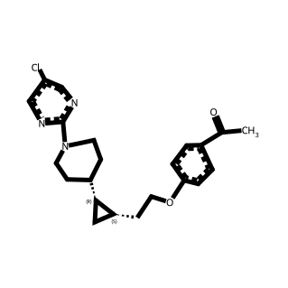 CC(=O)c1ccc(OCC[C@@H]2C[C@@H]2C2CCN(c3ncc(Cl)cn3)CC2)cc1